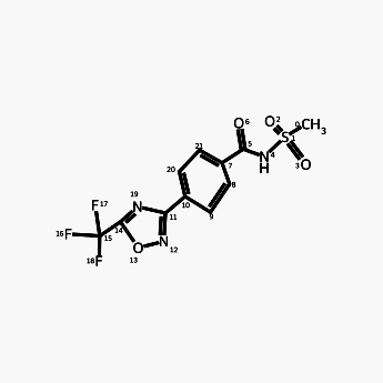 CS(=O)(=O)NC(=O)c1ccc(-c2noc(C(F)(F)F)n2)cc1